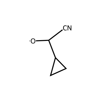 N#CC([O])C1CC1